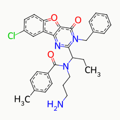 CCC(c1nc2c(oc3ccc(Cl)cc32)c(=O)n1Cc1ccccc1)N(CCCN)C(=O)c1ccc(C)cc1